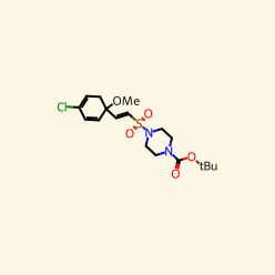 COC1(C=CS(=O)(=O)N2CCN(C(=O)OC(C)(C)C)CC2)C=CC(Cl)=CC1